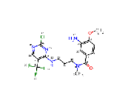 COc1ccc(C(=O)N(C)CCCNc2nc(Cl)ncc2C(F)(F)F)cc1N